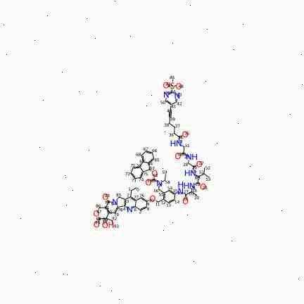 CCc1c2c(nc3ccc(OCc4ccc(NC(=O)[C@H](C)NC(=O)[C@@H](NC(=O)CNC(=O)CNC(=O)CCCC#Cc5cnc(S(C)(=O)=O)nc5)C(C)C)cc4CN(CC)C(=O)OC4c5ccccc5-c5ccccc54)cc13)-c1cc3c(c(=O)n1C2)COC(=O)[C@]3(O)CC